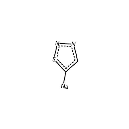 [Na][c]1cnns1